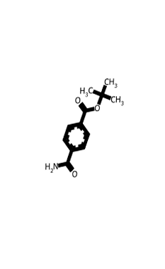 CC(C)(C)OC(=O)c1ccc(C(N)=O)cc1